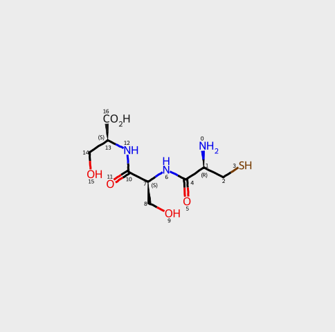 N[C@@H](CS)C(=O)N[C@@H](CO)C(=O)N[C@@H](CO)C(=O)O